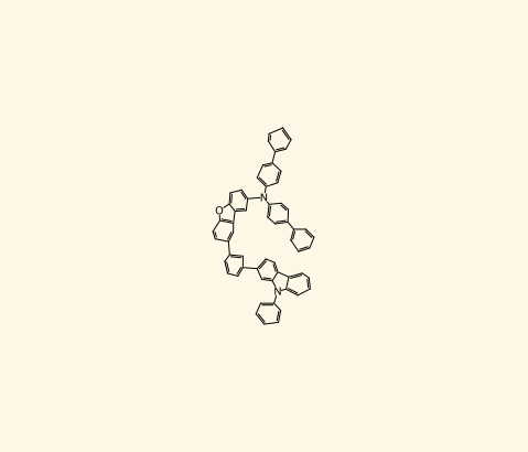 c1ccc(-c2ccc(N(c3ccc(-c4ccccc4)cc3)c3ccc4oc5ccc(-c6cccc(-c7ccc8c9ccccc9n(-c9ccccc9)c8c7)c6)cc5c4c3)cc2)cc1